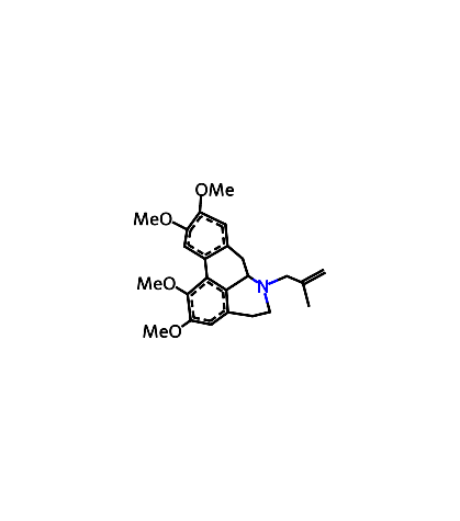 C=C(C)CN1CCc2cc(OC)c(OC)c3c2C1Cc1cc(OC)c(OC)cc1-3